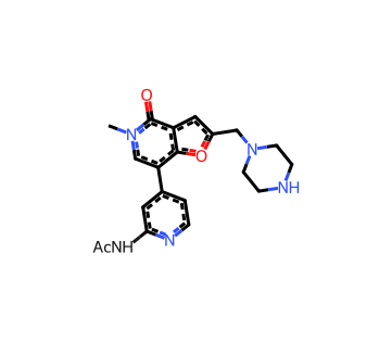 CC(=O)Nc1cc(-c2cn(C)c(=O)c3cc(CN4CCNCC4)oc23)ccn1